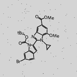 COC(=O)c1cc(OC)c2c(c1)nc(-c1cc3ccc(Br)cc3n1C(=O)OC(C)(C)C)n2C1CC1